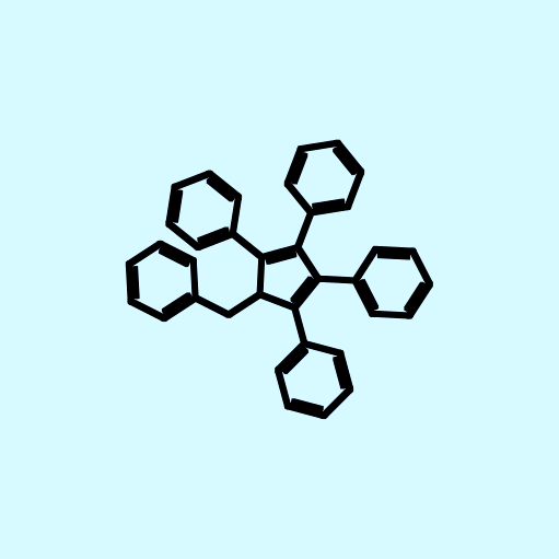 c1ccc(CC2C(c3ccccc3)=C(c3ccccc3)C(c3ccccc3)=C2c2ccccc2)cc1